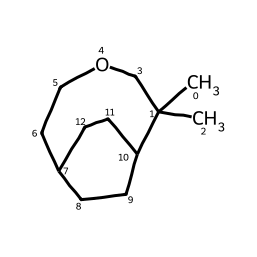 CC1(C)COCCC2CCC1CC2